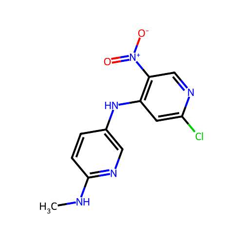 CNc1ccc(Nc2cc(Cl)ncc2[N+](=O)[O-])cn1